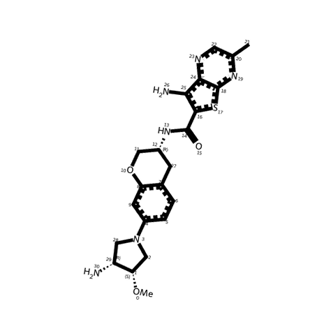 CO[C@H]1CN(c2ccc3c(c2)OC[C@H](NC(=O)c2sc4nc(C)cnc4c2N)C3)C[C@H]1N